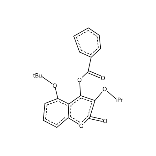 CC(C)Oc1c(OC(=O)c2ccccc2)c2c(OC(C)(C)C)cccc2oc1=O